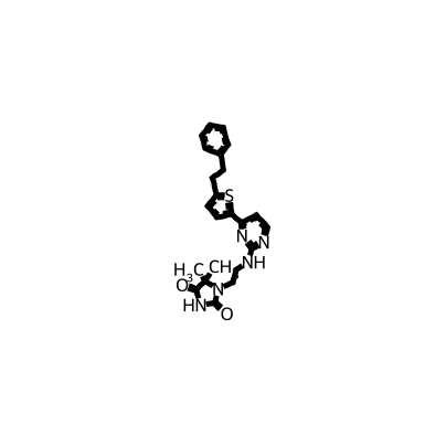 CC1(C)C(=O)NC(=O)N1CCNc1nccc(-c2ccc(CCc3ccccc3)s2)n1